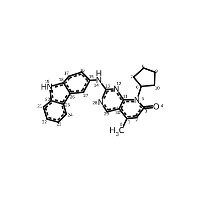 Cc1cc(=O)n(C2CCCC2)c2nc(Nc3ccc4[nH]c5ccccc5c4c3)ncc12